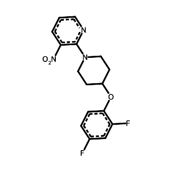 O=[N+]([O-])c1cccnc1N1CCC(Oc2ccc(F)cc2F)CC1